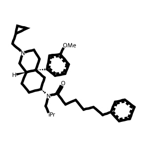 COc1cccc([C@@]23CCN(CC4CC4)C[C@H]2CC[C@@H](N(CC(C)C)C(=O)CCCCCc2ccccc2)C3)c1